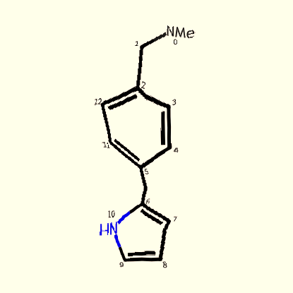 CNCc1ccc(-c2ccc[nH]2)cc1